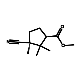 COC(=O)[C@@H]1CC[C@](C)(C#N)C1(C)C